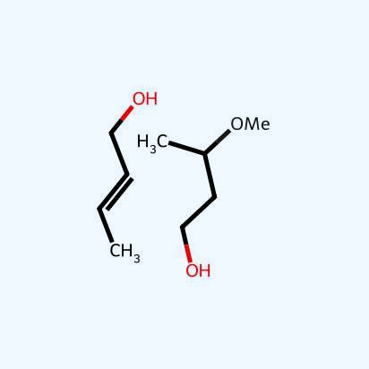 CC=CCO.COC(C)CCO